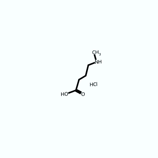 CNCCCC(=O)O.Cl